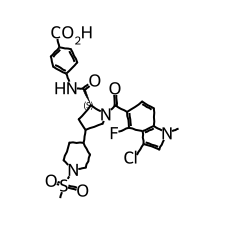 Cn1cc(Cl)c2c(F)c(C(=O)N3CC(C4CCN(S(C)(=O)=O)CC4)C[C@H]3C(=O)Nc3ccc(C(=O)O)cc3)ccc21